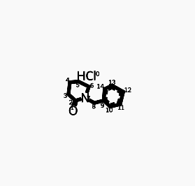 Cl.O=C1CCCCN1Cc1ccccc1